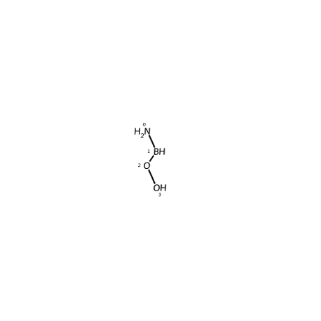 NBOO